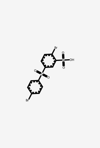 O=S(=O)(O)c1cc(S(=O)(=O)c2ccc(Br)cc2)ccc1Br